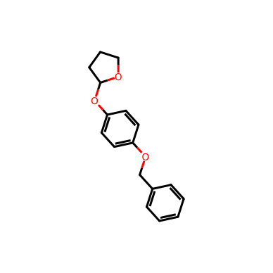 c1ccc(COc2ccc(OC3CCCO3)cc2)cc1